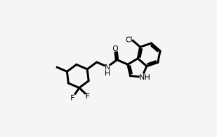 CC1CC(CNC(=O)c2c[nH]c3cccc(Cl)c23)CC(F)(F)C1